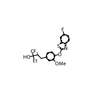 CCC(O)(CCc1ccc(Oc2nc3ccc(F)cc3s2)c(OC)c1)C(F)(F)F